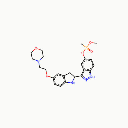 COP(C)(=O)Oc1ccc2[nH]nc(C3Cc4cc(OCCN5CCOCC5)ccc4N3)c2c1